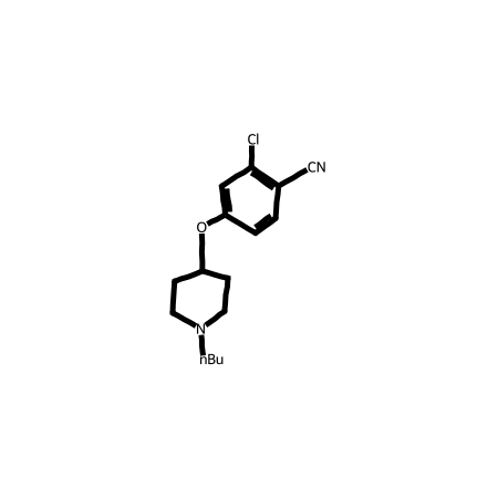 CCCCN1CCC(Oc2ccc(C#N)c(Cl)c2)CC1